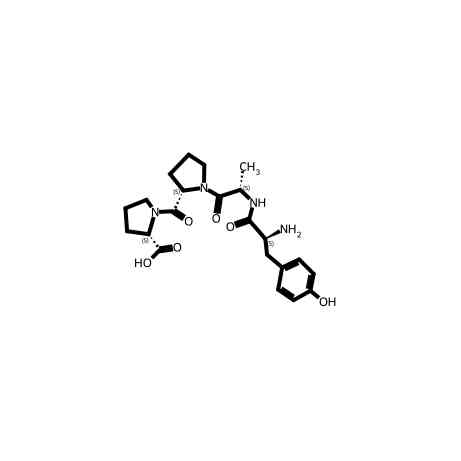 C[C@H](NC(=O)[C@@H](N)Cc1ccc(O)cc1)C(=O)N1CCC[C@H]1C(=O)N1CCC[C@H]1C(=O)O